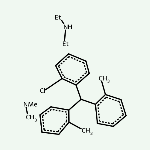 CCNCC.CNC.Cc1ccccc1C(c1ccccc1C)c1ccccc1Cl